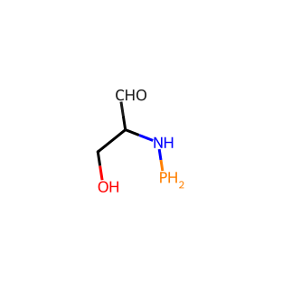 O=CC(CO)NP